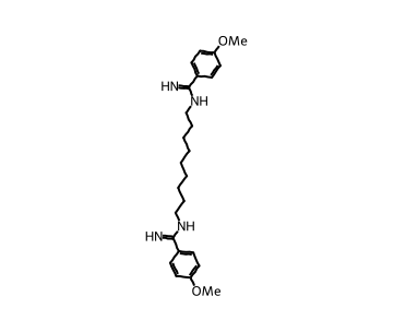 COc1ccc(C(=N)NCCCCCCCCCNC(=N)c2ccc(OC)cc2)cc1